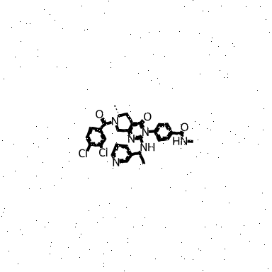 CNC(=O)c1ccc(-n2c(NC(C)c3cccnc3)nc3c(c2=O)C[C@@H](C)N(C(=O)c2ccc(Cl)c(Cl)c2)C3)cc1